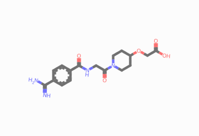 N=C(N)c1ccc(C(=O)NCC(=O)N2CCC(OCC(=O)O)CC2)cc1